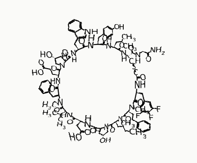 CCCC[C@H]1C(=O)N2C[C@H](O)C[C@@H]2C(=O)N[C@@H](CC(=O)O)C(=O)N[C@@H](C(C)C)C(=O)N(C)C(Cc2ccccc2)C(=O)N[C@@H](CCC(=O)O)C(=O)N2C[C@H](O)C[C@H]2C(=O)N[C@@H](Cc2c[nH]c3ccccc23)C(=O)N[C@@H](Cc2ccc(O)cc2)C(=O)N[C@@H](CC(C)C)C(=O)N[C@H](C(=O)NCC(N)=O)CSCC(=O)N[C@@H](Cc2cc(F)c(F)c(F)c2)C(=O)N(C)[C@@H](CCc2ccccc2)C(=O)N1C